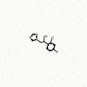 CCCC(Cn1cncn1)c1ccc(I)cc1Cl